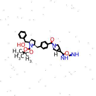 CC(C)(C)OC(=O)N1[C@H](Cc2ccc(C(=O)N3CC4C(C(=N)OC=N)[C@H]4C3)cc2)CC[C@@H]1[C@H](O)c1ccccc1